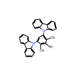 CC(C)c1c(C#N)c(-n2c3ccccc3c3ccccc32)cc(-n2c3ccccc3c3ccccc32)c1C#N